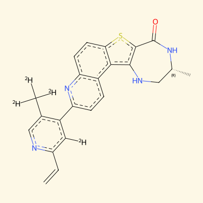 [2H]c1c(C=C)ncc(C([2H])([2H])[2H])c1-c1ccc2c(ccc3sc4c(c32)NC[C@@H](C)NC4=O)n1